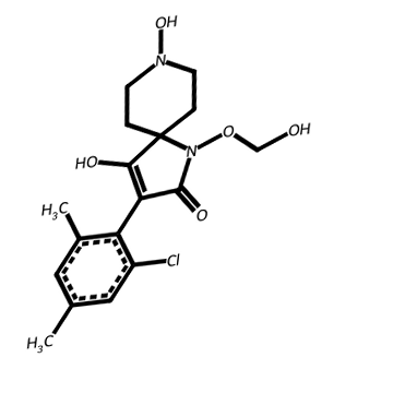 Cc1cc(C)c(C2=C(O)C3(CCN(O)CC3)N(OCO)C2=O)c(Cl)c1